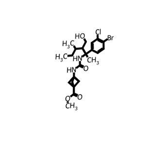 CCC(C)C(CO)C(C)(NC(=O)NC12CC(C(=O)OC)(C1)C2)c1ccc(Br)c(Cl)c1